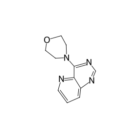 c1cnc2c(N3CCOCC3)ncnc2c1